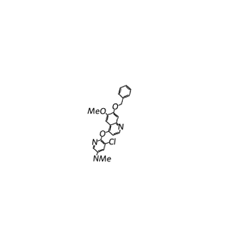 CNc1cnc(Oc2ccnc3cc(OCc4ccccc4)c(OC)cc23)c(Cl)c1